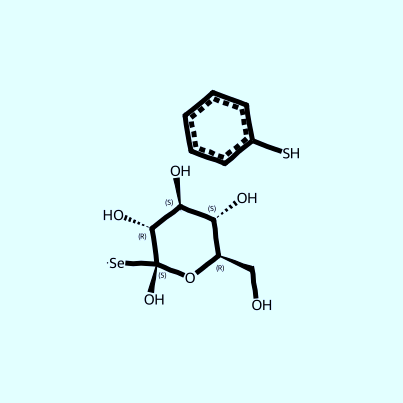 OC[C@H]1O[C@](O)([Se])[C@H](O)[C@@H](O)[C@@H]1O.Sc1ccccc1